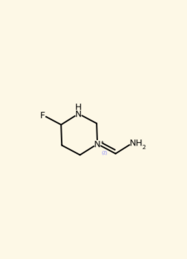 N/C=[N+]1/CCC(F)NC1